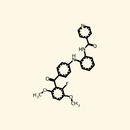 COc1ccc(OC)c(C(=O)c2ccc(Nc3ccccc3NC(=O)c3ccncc3)cc2)c1F